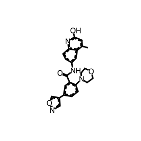 Cc1cc(O)nc2ccc(NC(=O)c3cc(-c4cnoc4)ccc3N3CCOCC3)cc12